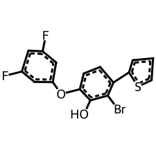 Oc1c(Oc2cc(F)cc(F)c2)ccc(-c2cccs2)c1Br